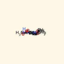 CC(=O)NC[C@H]1CN(c2ccc(-c3ccc(C4(NC(=O)OC(C)(C)C)CC4)nc3)cc2)C(=O)O1